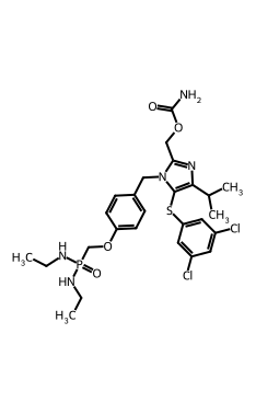 CCNP(=O)(COc1ccc(Cn2c(COC(N)=O)nc(C(C)C)c2Sc2cc(Cl)cc(Cl)c2)cc1)NCC